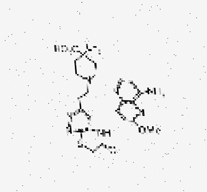 COc1ccc2nccc(N)c2n1.O=C1CSc2nnc(CCN3CCC(C(=O)O)(C(F)(F)F)CC3)cc2N1